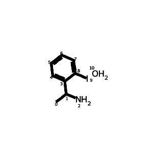 CC(N)c1ccccc1I.O